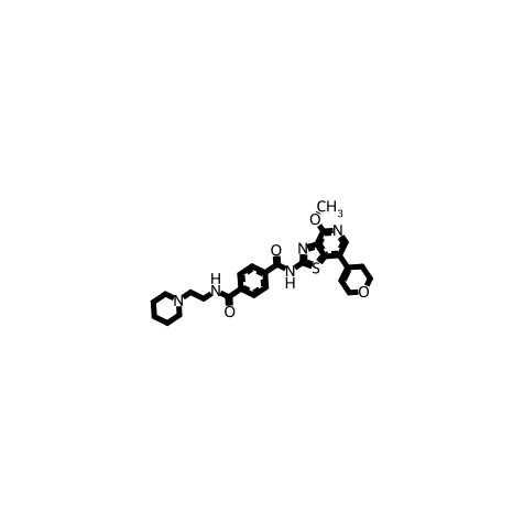 COc1ncc(C2=CCOCC2)c2sc(NC(=O)c3ccc(C(=O)NCCN4CCCCC4)cc3)nc12